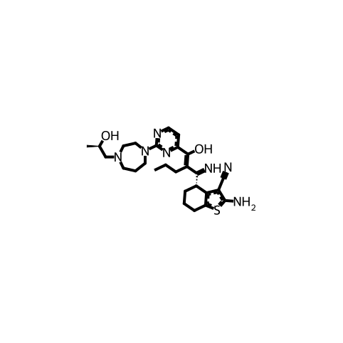 CCC/C(C(=N)[C@H]1CCCc2sc(N)c(C#N)c21)=C(/O)c1ccnc(N2CCCN(C[C@@H](C)O)CC2)n1